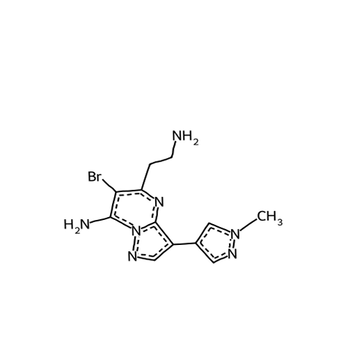 Cn1cc(-c2cnn3c(N)c(Br)c(CCN)nc23)cn1